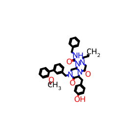 C=CCN1CC(=O)N2C(Cc3ccc(O)cc3)C(=O)N(Cc3cccc(-c4ccccc4OC)c3)CC2N1C(=O)NCc1ccccc1